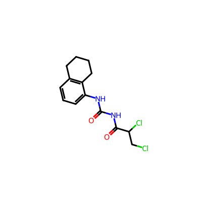 O=C(NC(=O)C(Cl)CCl)Nc1cccc2c1CCCC2